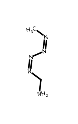 C/N=N\N=N/CN